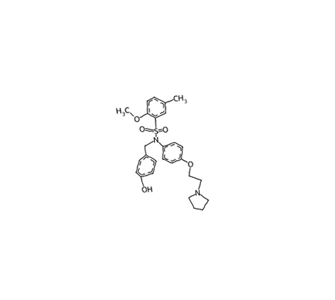 COc1ccc(C)cc1S(=O)(=O)N(Cc1ccc(O)cc1)c1ccc(OCCN2CCCC2)cc1